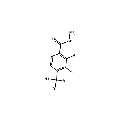 [2H]C([2H])([2H])c1ccc(C(=O)NN)c(F)c1F